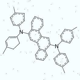 CC1=CC=C(N(c2ccc(C)cc2)c2cc3c4ccccc4c(N(c4ccc(C)cc4)c4ccc(C)cc4)cc3c3ccccc23)CC1